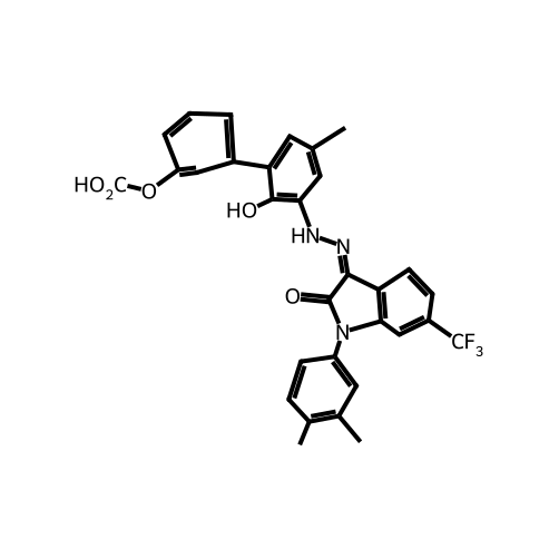 Cc1cc(NN=C2C(=O)N(c3ccc(C)c(C)c3)c3cc(C(F)(F)F)ccc32)c(O)c(-c2cccc(OC(=O)O)c2)c1